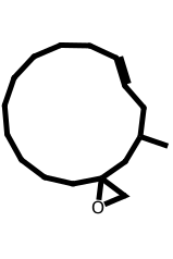 CC1C/C=C/CCCCCCCCCC2(CO2)C1